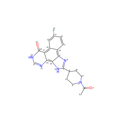 CC(=O)N1CCC(c2nc3c4ccc(F)cc4c4c(=O)[nH]cnc4c3[nH]2)CC1